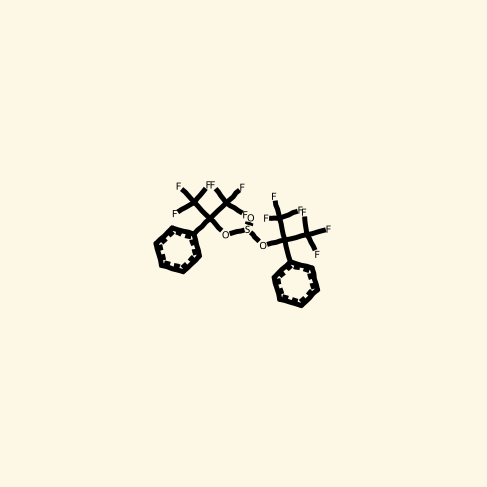 O=S(OC(c1ccccc1)(C(F)(F)F)C(F)(F)F)OC(c1ccccc1)(C(F)(F)F)C(F)(F)F